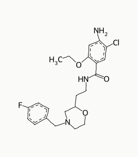 CCOc1cc(N)c(Cl)cc1C(=O)NCCC1CN(Cc2ccc(F)cc2)CCO1